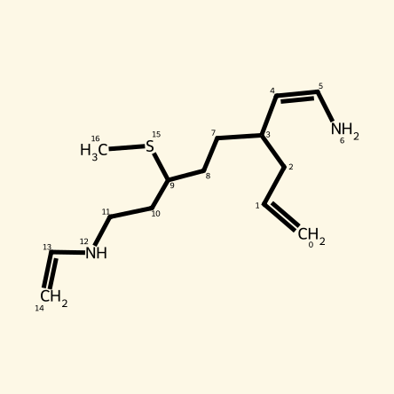 C=CCC(/C=C\N)CCC(CCNC=C)SC